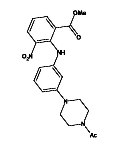 COC(=O)c1cccc([N+](=O)[O-])c1Nc1cccc(N2CCN(C(C)=O)CC2)c1